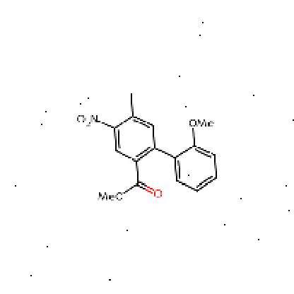 COC(=O)c1cc([N+](=O)[O-])c(C)cc1-c1ccccc1OC